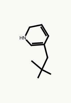 CC(C)(C)CC1=CNCC=C1